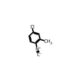 [C-]#[N+]c1ccc(Cl)cc1C